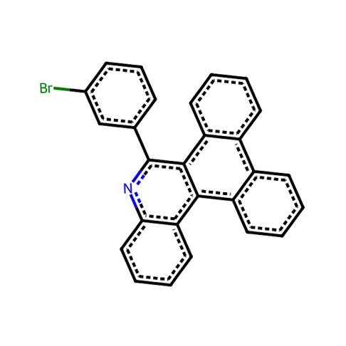 Brc1cccc(-c2nc3ccccc3c3c4ccccc4c4ccccc4c23)c1